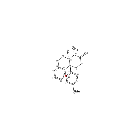 COc1ccc([C@]23CCC(=O)[C@@H](C)[C@@H]2CCc2cncnc23)cc1